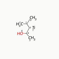 CC(C)CC(C)O.[Ti]